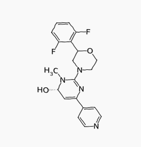 CN1C(N2CCOC(c3c(F)cccc3F)C2)=NC(c2ccncc2)=C[C@@H]1O